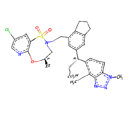 CC[C@@H]1CN(Cc2cc([C@@H](CC(=O)O)c3ccc4c(nnn4C)c3C)cc3c2CCC3)S(=O)(=O)c2cc(Cl)cnc2O1